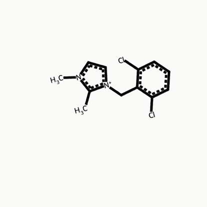 Cc1n(C)cc[n+]1Cc1c(Cl)cccc1Cl